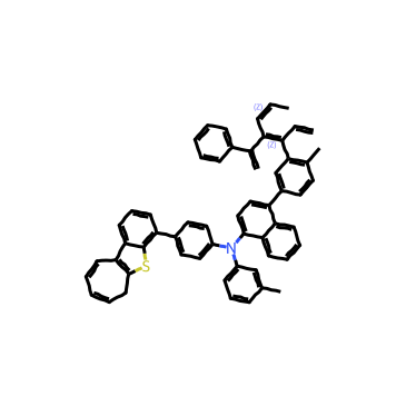 C=C/C(=C(\C=C/C)C(=C)c1ccccc1)c1cc(-c2ccc(N(c3ccc(-c4cccc5c6c(sc45)CC=CC=C6)cc3)c3cccc(C)c3)c3ccccc23)ccc1C